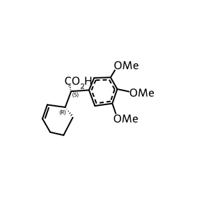 COc1cc([C@@H](C(=O)O)[C@H]2C=CCCC2)cc(OC)c1OC